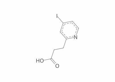 O=C(O)CCc1cc(I)ccn1